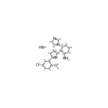 Br.COc1ccc(Cl)cc1-c1csc(-c2c(N)cccc2-n2ccnc2)n1